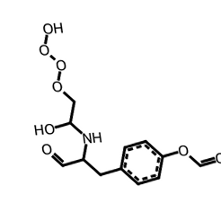 O=COc1ccc(CC(C=O)NC(O)COOOO)cc1